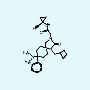 CN(C)[C@]1(c2ccccc2)CC[C@@]2(CC1)CN(CC(=O)NC1(C#N)CC1)C(=O)N2CC1CCC1